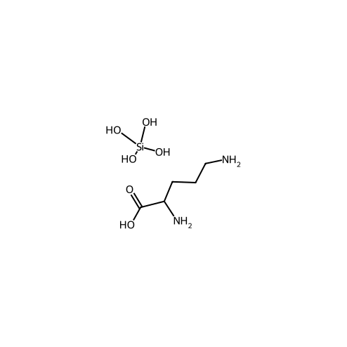 NCCCC(N)C(=O)O.O[Si](O)(O)O